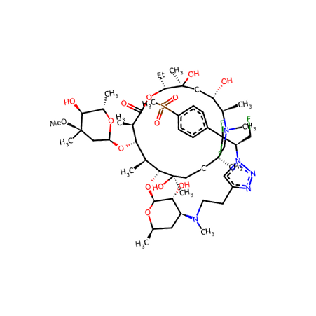 CC[C@H]1OC(=O)[C@H](C)[C@@H](O[C@H]2C[C@@](C)(OC)[C@@H](O)[C@H](C)O2)[C@H](C)[C@@H](O[C@@H]2O[C@H](C)C[C@H](N(C)CCc3cn([C@H](CF)C(F)(F)c4ccc(S(C)(=O)=O)cc4)nn3)[C@H]2O)[C@](C)(O)CC[C@@H](C)CN(C)[C@H](C)[C@@H](O)C[C@]1(C)O